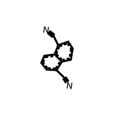 N#Cc1cccc2c(C#N)cccc12